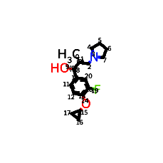 C[C@H](CN1CCCC1)[C@H](O)c1ccc(OC2CC2)c(F)c1